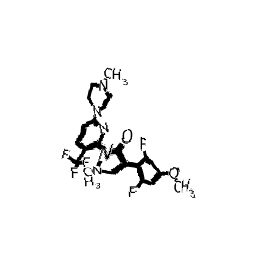 COc1cc(F)c(-c2cn(C)n(-c3nc(N4CCN(C)CC4)ccc3C(F)(F)F)c2=O)c(F)c1